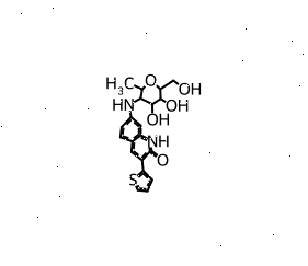 CC1OC(CO)C(O)C(O)C1Nc1ccc2cc(-c3cccs3)c(=O)[nH]c2c1